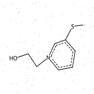 [CH2]Sc1ccc[n+](CCO)c1